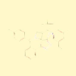 CC(C)(F)[C@H](c1cc(F)cc(C#N)c1)C1CN([C@@H](c2ccc(Cl)cc2)c2ccccc2-c2nnc(N)o2)C1